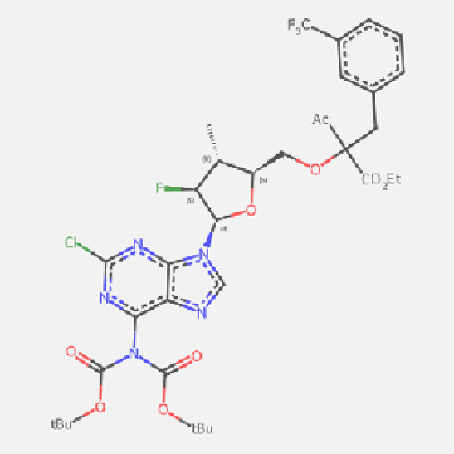 CCOC(=O)C(Cc1cccc(C(F)(F)F)c1)(OC[C@H]1O[C@@H](n2cnc3c(N(C(=O)OC(C)(C)C)C(=O)OC(C)(C)C)nc(Cl)nc32)[C@@H](F)[C@@H]1C)C(C)=O